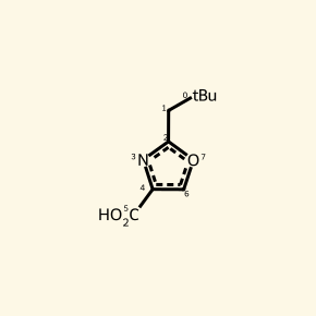 CC(C)(C)Cc1nc(C(=O)O)co1